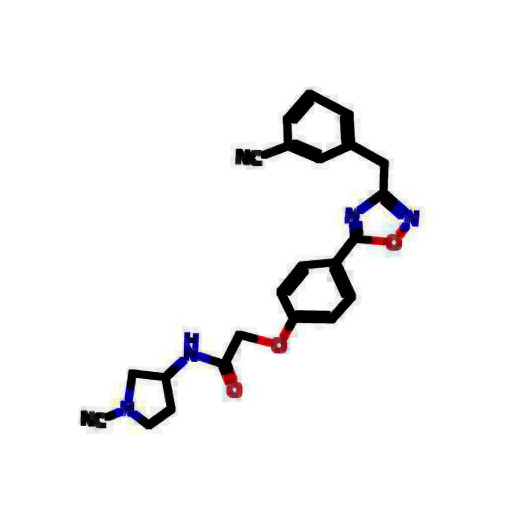 N#Cc1cccc(Cc2noc(-c3ccc(OCC(=O)NC4CCN(C#N)C4)cc3)n2)c1